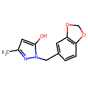 Oc1cc(C(F)(F)F)nn1Cc1ccc2c(c1)OCO2